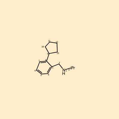 CC(C)NCc1ccccc1C1CCCC1